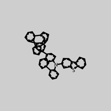 c1ccc(-c2ccccc2N(c2ccc(-c3ccc4c(c3)-c3c5cccc3-c3cccc-4c3-c3ccccc3-5)cc2)c2ccc3c(c2)sc2ccccc23)cc1